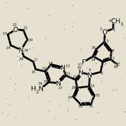 CCOc1cc(F)c(Cn2nc(-c3ncc(CCCN4CCOCC4)c(N)n3)c3ccccc32)c(F)c1